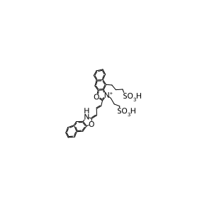 O=S(=O)(O)CCCc1c2ccccc2cc2oc(C=CC=C3Nc4cc5ccccc5cc4O3)[n+](CCCS(=O)(=O)O)c12